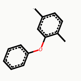 [CH2]c1ccc(C)c(Oc2ccccc2)c1